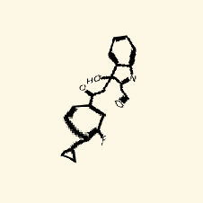 O=CC1=Nc2ccccc2C1(O)CC(=O)c1ccc(C2CC2)c(F)c1